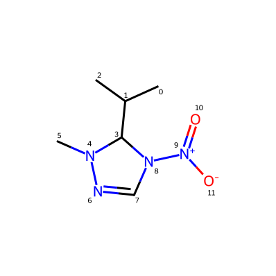 CC(C)C1N(C)N=CN1[N+](=O)[O-]